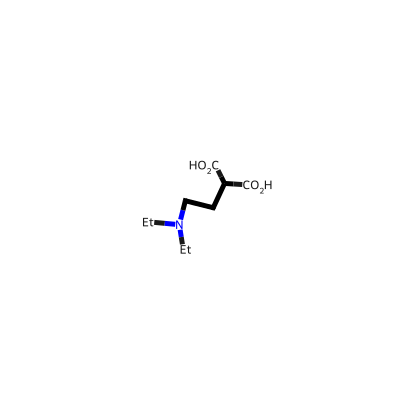 CCN(CC)CCC(C(=O)O)C(=O)O